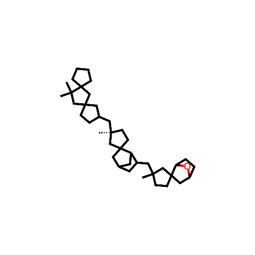 CC1(CC2CC3CC2C2(CC[C@](C)(CC4CCC5(C4)CC(C)(C)C4(CCCC4)C5)C2)C3)CCC2(CC3CCC2O3)C1